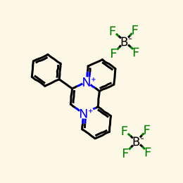 F[B-](F)(F)F.F[B-](F)(F)F.c1ccc(-c2c[n+]3ccccc3c3cccc[n+]23)cc1